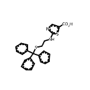 O=C(O)c1cnc(NCCSC(c2ccccc2)(c2ccccc2)c2ccccc2)s1